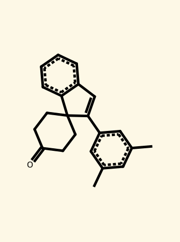 Cc1cc(C)cc(C2=Cc3ccccc3C23CCC(=O)CC3)c1